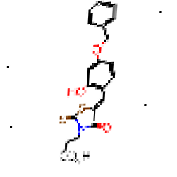 O=C(O)CCN1C(=O)C(=Cc2ccc(OCc3ccccc3)cc2O)SC1=S